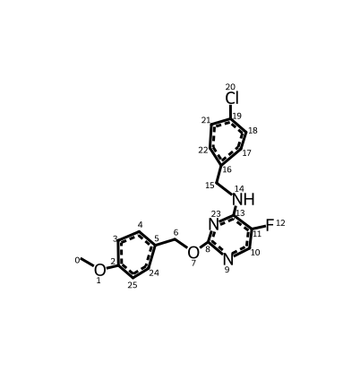 COc1ccc(COc2ncc(F)c(NCc3ccc(Cl)cc3)n2)cc1